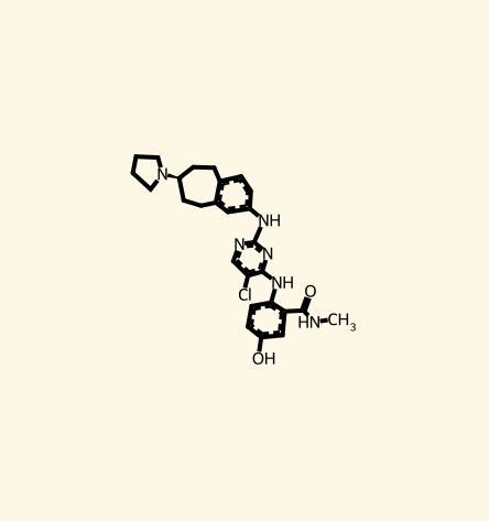 CNC(=O)c1cc(O)ccc1Nc1nc(Nc2ccc3c(c2)CC[C@@H](N2CCCC2)CC3)ncc1Cl